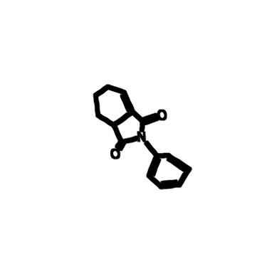 O=C1C2=CCCCC2C(=O)N1c1ccccc1